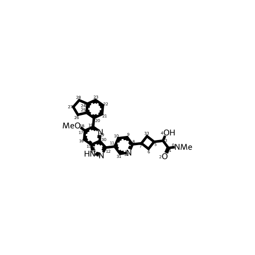 CNC(=O)C(O)C1CC(c2ccc(-c3n[nH]c4cc(OC)c(-c5cccc6c5CCC6)nc34)cn2)C1